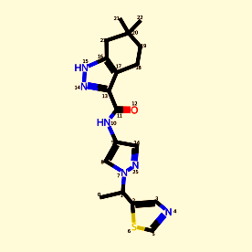 CC(c1cncs1)n1cc(NC(=O)c2n[nH]c3c2CCC(C)(C)C3)cn1